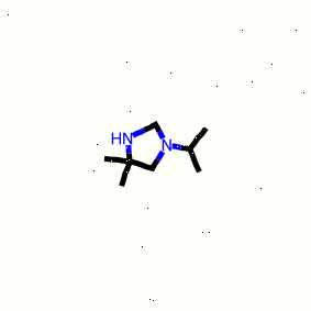 CC(C)N1CNC(C)(C)C1